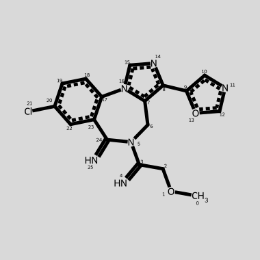 COCC(=N)N1Cc2c(-c3cnco3)ncn2-c2ccc(Cl)cc2C1=N